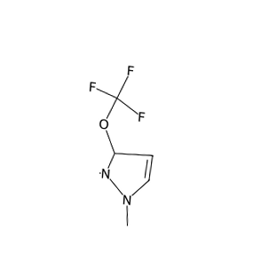 CN1C=CC(OC(F)(F)F)[N]1